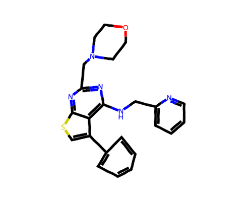 c1ccc(-c2csc3nc(CN4CCOCC4)nc(NCc4ccccn4)c23)cc1